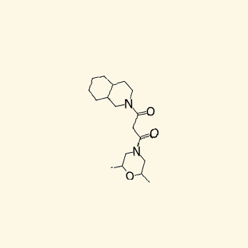 CC1CN(C(=O)CC(=O)N2CCC3CCCCC3C2)CC(C)O1